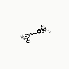 CCN(CCCCc1ccc(NS(C)(=O)=O)cc1)CC(C)c1cccs1